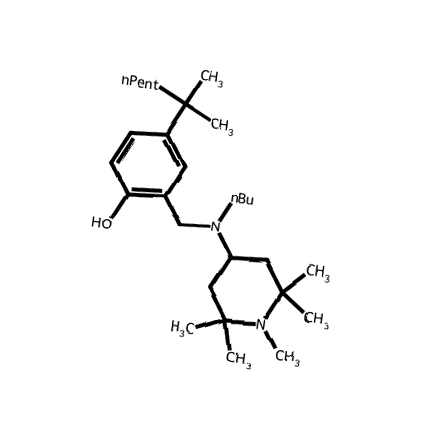 CCCCCC(C)(C)c1ccc(O)c(CN(CCCC)C2CC(C)(C)N(C)C(C)(C)C2)c1